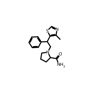 Cc1ncsc1C(CN1CCCC1C(N)=O)c1ccccc1